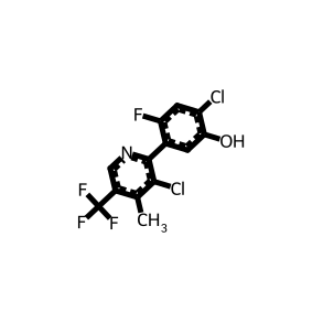 Cc1c(C(F)(F)F)cnc(-c2cc(O)c(Cl)cc2F)c1Cl